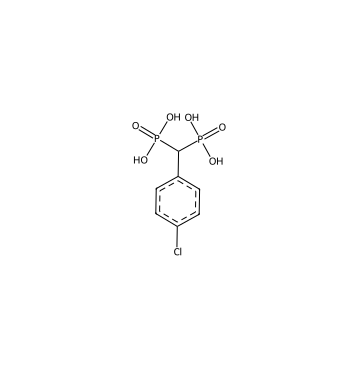 O=P(O)(O)C(c1ccc(Cl)cc1)P(=O)(O)O